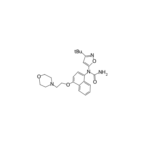 CC(C)(C)c1cc(N(C(N)=O)c2ccc(OCCN3CCOCC3)c3ccccc23)on1